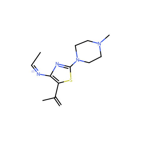 C=C(C)c1sc(N2CCN(C)CC2)nc1/N=C\C